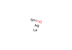 [Ag].[La].[O]=[Sn]